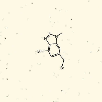 Cn1nnc2c(Br)cc(CBr)cc21